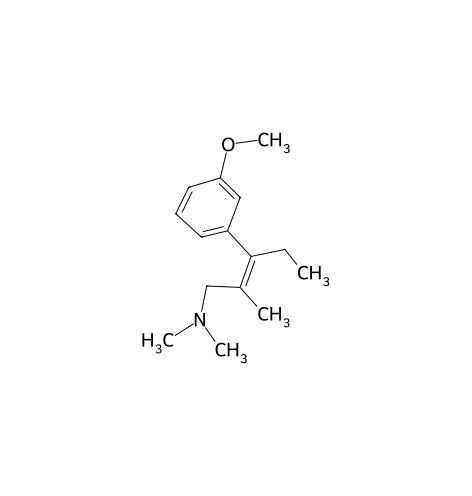 CC/C(=C(\C)CN(C)C)c1cccc(OC)c1